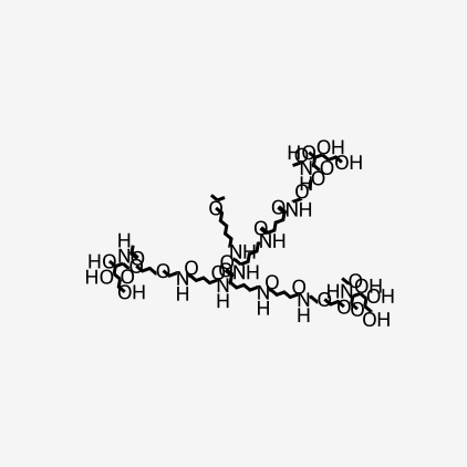 CC(=O)NC1C(OCCCOCCNC(=O)CCCC(=O)NC(CCCCNC(=O)CCCC(=O)NCCOCCOC2OC(CO)C(O)C(O)C2NC(C)=O)C(=O)NC(CCCCNC(=O)CCCC(=O)NCCOCCOC2OC(CO)C(O)C(O)C2NC(C)=O)C(=O)NCCCCCCOC(C)C)OC(CO)C(O)C1O